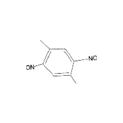 Cc1cc(N=O)c(C)cc1N=O